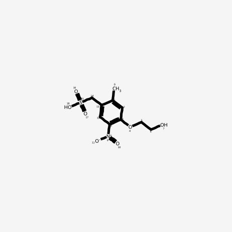 Cc1cc(OCCO)c([N+](=O)[O-])cc1CS(=O)(=O)O